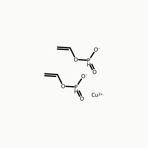 C=CO[PH](=O)[O-].C=CO[PH](=O)[O-].[Cu+2]